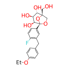 CCOc1ccc(Cc2cc([C@]34OC[C@](CO)(O3)[C@@H](O)[C@H](O)[C@@H]4O)ccc2F)cc1